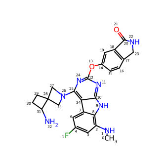 CNc1cc(F)cc2c1[nH]c1nc(Oc3ccc4c(c3)C(=O)NC4)nc(N3CC4(CCC4N)C3)c12